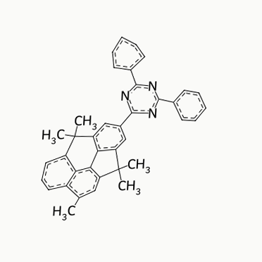 Cc1cc2c3c4c(cccc14)C(C)(C)c1cc(-c4nc(-c5ccccc5)nc(-c5ccccc5)n4)cc(c1-3)C2(C)C